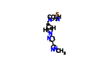 Cn1cc(-c2ccc(N3C[C@H]4C[C@@H](CN(Cc5cscn5)C(=O)O)C[C@H]4C3)nc2)cn1